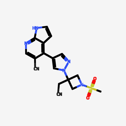 CS(=O)(=O)N1CC(CC#N)(n2cc(-c3c(C#N)cnc4[nH]ccc34)cn2)C1